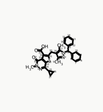 Cc1nn(C(c2ccccc2)c2ccccc2)c(C)c1Cc1sc2c(C3CC3)nn(C)c(=O)c2c1C(=O)O